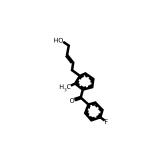 Cc1c(CC=CCO)cccc1C(=O)c1ccc(F)cc1